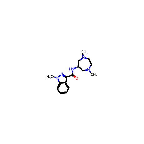 CN1CCN(C)CC(NC(=O)c2nn(C)c3ccccc23)C1